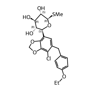 CCOc1ccc(Cc2cc([C@@H]3O[C@H](SC)[C@@H](O)[C@H](O)[C@H]3O)c3c(c2Cl)OCO3)cc1